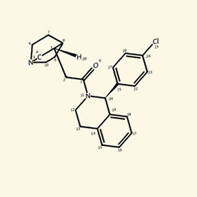 O=C(C[C@@H]1CN2CCC1CC2)N1CCc2ccccc2[C@@H]1c1ccc(Cl)cc1